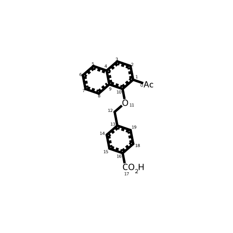 CC(=O)c1ccc2ccccc2c1OCc1ccc(C(=O)O)cc1